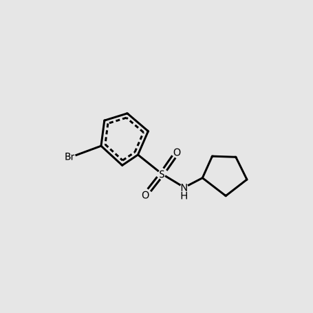 O=S(=O)(NC1CCCC1)c1cccc(Br)c1